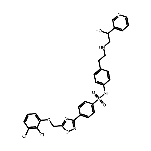 O=S(=O)(Nc1ccc(CCNCC(O)c2cccnc2)cc1)c1ccc(-c2noc(COc3cccc(Cl)c3Cl)n2)cc1